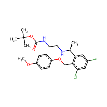 COc1ccc(OCc2c(Cl)cc(F)cc2[C@H](C)NCCNC(=O)OC(C)(C)C)cc1